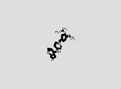 COc1ccc(CN2CCC(Nc3ccnc4cc(Cl)ccc34)CC2)cc1OC(C)C